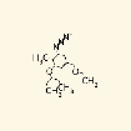 CCOCC1=C[C@@H](OC(CC)CC)[C@H](C)[C@@H](N=[N+]=[N-])C1